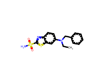 CCN(Cc1ccccc1)c1ccc2nc(S(N)(=O)=O)sc2c1